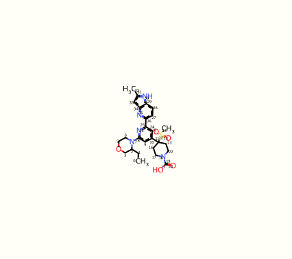 CCC1COCCN1c1cc(C2(S(C)(=O)=O)CCN(C(=O)O)CC2)cc(-c2ccc3[nH]c(C)cc3n2)n1